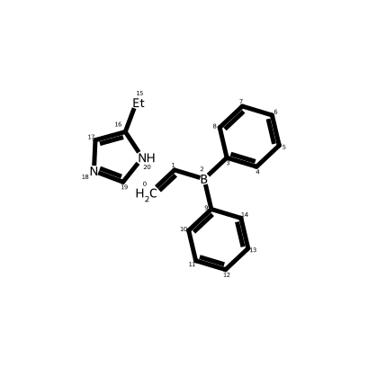 C=CB(c1ccccc1)c1ccccc1.CCc1cnc[nH]1